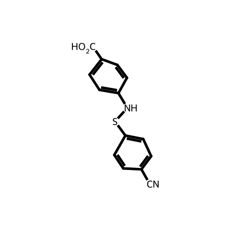 N#Cc1ccc(SNc2ccc(C(=O)O)cc2)cc1